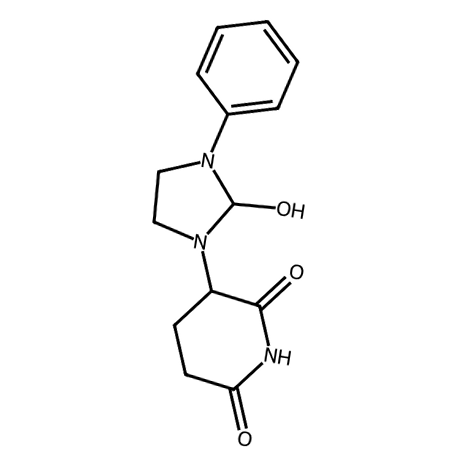 O=C1CCC(N2CCN(c3ccccc3)C2O)C(=O)N1